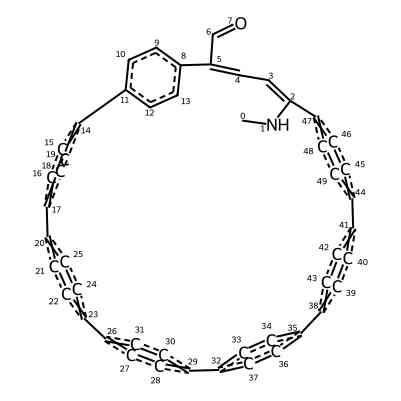 CN/C1=C\C=C(/C=O)c2ccc(cc2)-c2ccc(cc2)-c2ccc(cc2)-c2ccc(cc2)-c2ccc(cc2)-c2ccc(cc2)-c2ccc1cc2